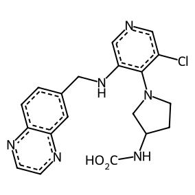 O=C(O)NC1CCN(c2c(Cl)cncc2NCc2ccc3nccnc3c2)C1